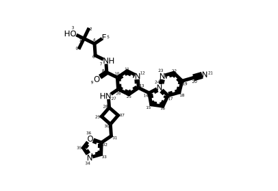 CC(C)(O)C(F)CNC(=O)c1cnc(-c2ccc3cc(C#N)cnn23)cc1NC1CC(Cc2cnco2)C1